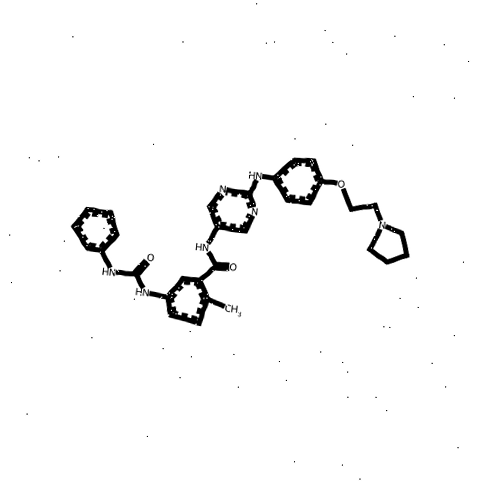 Cc1ccc(NC(=O)Nc2ccccc2)cc1C(=O)Nc1cnc(Nc2ccc(OCCN3CCCC3)cc2)nc1